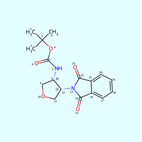 CC(C)(C)OC(=O)N[C@H]1COC[C@H]1N1C(=O)c2ccccc2C1=O